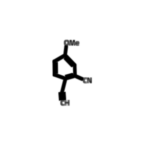 C#Cc1ccc(OC)cc1C#N